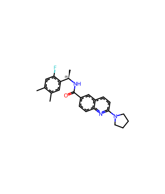 Cc1cc(F)c([C@@H](C)NC(=O)c2ccc3nc(N4CCCC4)ccc3c2)cc1C